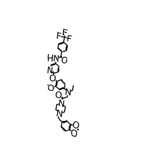 CCN(CC(=O)N1CCN(Cc2ccc3c(c2)OCO3)CC1)c1ccc(Oc2ccc(NC(=O)c3ccc(C(F)(F)F)cc3)cn2)c(OC)c1